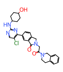 O=C(CN1Cc2ccc(-c3nc(NC4CCC(O)CC4)ncc3Cl)cc2C1=O)N1CCc2ccccc2C1